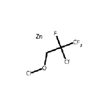 FC(F)(F)C(F)(Cl)COCl.[Zn]